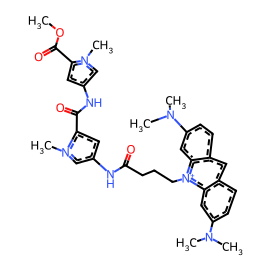 COC(=O)c1cc(NC(=O)c2cc(NC(=O)CCC[n+]3c4cc(N(C)C)ccc4cc4ccc(N(C)C)cc43)cn2C)cn1C